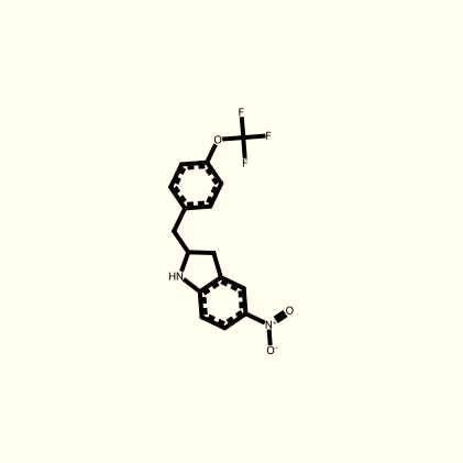 O=[N+]([O-])c1ccc2c(c1)CC(Cc1ccc(OC(F)(F)F)cc1)N2